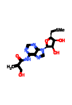 C=C(CO)C(=O)Nc1ncnc2c1ncn2[C@@H]1O[C@H](CSC)[C@@H](O)[C@H]1O